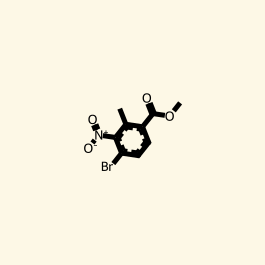 COC(=O)c1ccc(Br)c([N+](=O)[O-])c1C